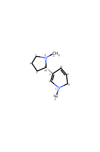 [2H]N1C=C([C@@H]2CCCN2C)C=CC1